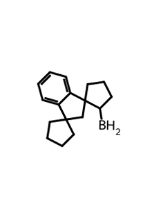 BC1CCCC12CC1(CCCC1)c1ccccc12